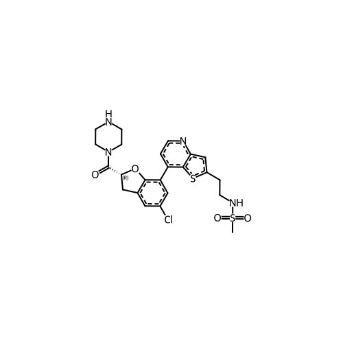 CS(=O)(=O)NCCc1cc2nccc(-c3cc(Cl)cc4c3O[C@@H](C(=O)N3CCNCC3)C4)c2s1